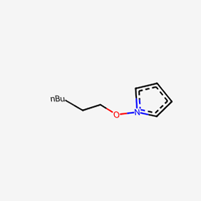 CCCCCCOn1cccc1